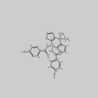 C[Si]1(C)C2=[C](CC=C2)[Ti]([O]C(=O)c2ccc(F)cc2)([O]C(=O)c2ccc(F)cc2)[C]2=C1C=CC2